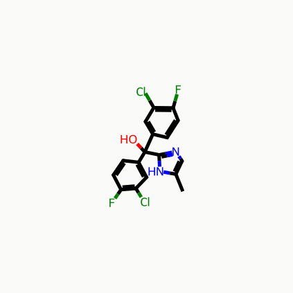 Cc1cnc(C(O)(c2ccc(F)c(Cl)c2)c2ccc(F)c(Cl)c2)[nH]1